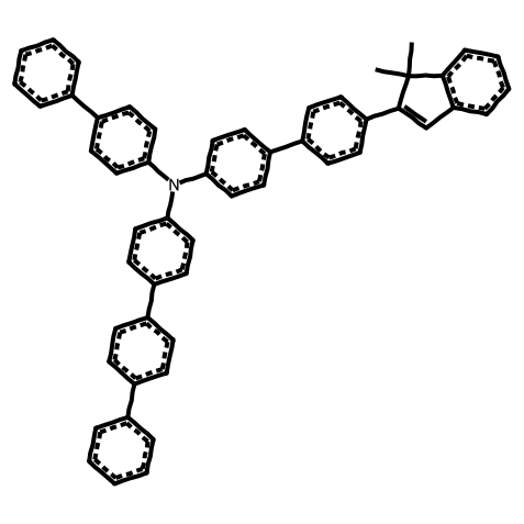 CC1(C)C(c2ccc(-c3ccc(N(c4ccc(-c5ccccc5)cc4)c4ccc(-c5ccc(-c6ccccc6)cc5)cc4)cc3)cc2)=Cc2ccccc21